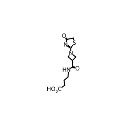 O=C(O)CCCNC(=O)C1CN(C2=NC(=O)CS2)C1